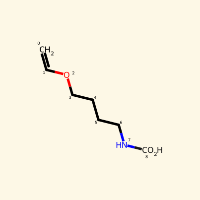 C=COCCCCNC(=O)O